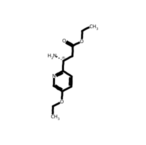 CCOC(=O)C[C@@H](N)c1ccc(OCC)cn1